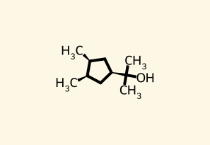 C[C@@H]1C[C@H](C(C)(C)O)C[C@@H]1C